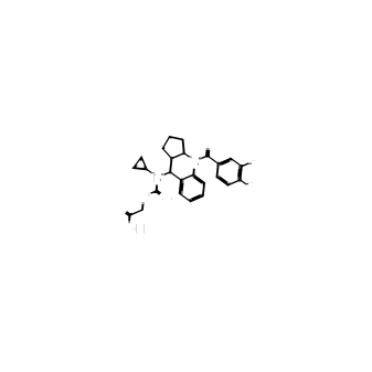 O=C(O)COC(=O)N(C1CC1)C1c2ccccc2N(C(=O)c2ccc(F)c(F)c2)C2CCCC21